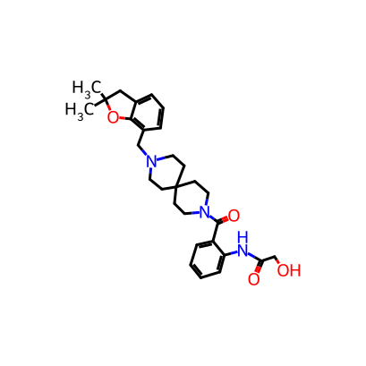 CC1(C)Cc2cccc(CN3CCC4(CC3)CCN(C(=O)c3ccccc3NC(=O)CO)CC4)c2O1